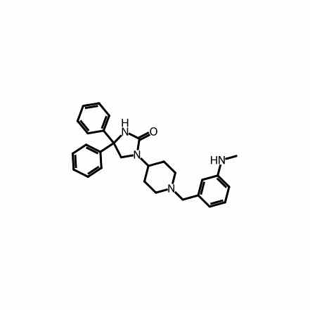 CNc1cccc(CN2CCC(N3CC(c4ccccc4)(c4ccccc4)NC3=O)CC2)c1